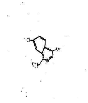 Clc1ccc2c(Br)cnc(Cl)c2c1